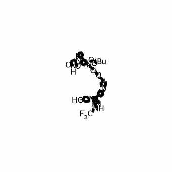 CC(C)(C)OC(=O)N(CCOCCOCCN1CCN(Cc2ccc(-c3cn([C@H]4CC[C@H](O)CC4)c4nc(NCCC(F)(F)F)ncc34)cc2)CC1)c1ccc2c(c1)c1cccnc1n2C1CCC(=O)NC1=O